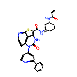 C=CC(=O)NC1CCC[C@@H](NC(=O)c2sc3nccc4c3c2NC(=O)N4c2ccnc(-c3ccccc3)c2)C1